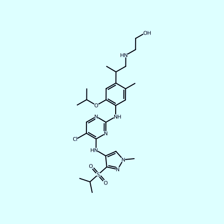 Cc1cc(Nc2ncc(Cl)c(Nc3cn(C)nc3S(=O)(=O)C(C)C)n2)c(OC(C)C)cc1C(C)CNCCO